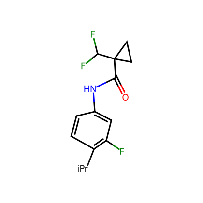 CC(C)c1ccc(NC(=O)C2(C(F)F)CC2)cc1F